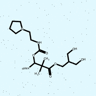 CCCCCCC(OC(=O)NCCN1CCCC1)C(C)(C)C(=O)OCC(CO)CO